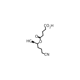 C#CC(CCCC#N)OC(=O)CCCC(=O)O